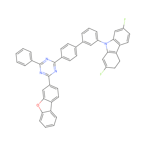 FC1=Cc2c(c3ccc(F)cc3n2-c2cccc(-c3ccc(-c4nc(-c5ccccc5)nc(-c5ccc6c(c5)oc5ccccc56)n4)cc3)c2)CC1